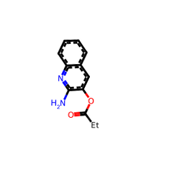 CCC(=O)Oc1cc2ccccc2nc1N